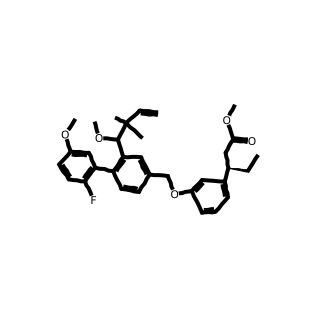 C=CC(C)(C)C(OC)c1cc(COc2cccc([C@H](CC)CC(=O)OC)c2)ccc1-c1cc(OC)ccc1F